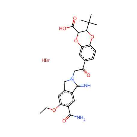 Br.CCOc1cc2c(cc1C(N)=O)C(=N)N(CC(=O)c1ccc3c(c1)OC(C(=O)O)C(C(C)(C)C)O3)C2